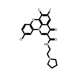 O=C(NCCN1CCCC1)c1cn2c3c(c(F)c(F)cc3c1=O)Oc1ccc(Cl)cc1-2